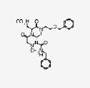 CN1CC(=O)N2C(CN(CCOCc3ccccc3)C(=O)[C@@H]2CC(=O)O)N1C(=O)NCc1ccccc1